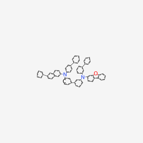 c1ccc(-c2ccc(N(c3cccc(-c4cccc(N(c5cccc(-c6ccccc6)c5)c5ccc6c(c5)oc5ccccc56)c4)c3)c3ccc4cc(-c5ccccc5)ccc4c3)cc2)cc1